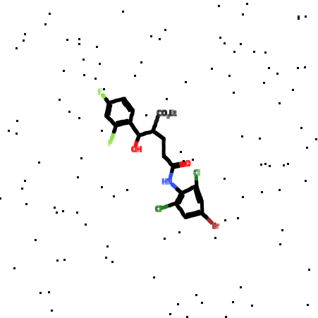 CCOC(=O)C(CCC(=O)Nc1c(Cl)cc(Br)cc1Cl)C(O)c1ccc(F)cc1F